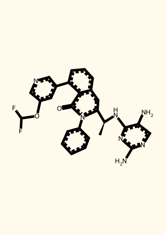 C[C@H](Nc1nc(N)ncc1N)c1cc2cccc(-c3cncc(OC(F)F)c3)c2c(=O)n1-c1ccccc1